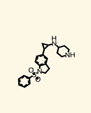 O=S(=O)(c1ccccc1)N1CCc2cc(C3CC3NC3CCNCC3)ccc21